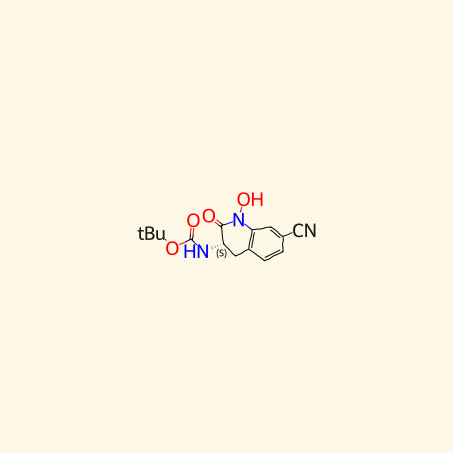 CC(C)(C)OC(=O)N[C@H]1Cc2ccc(C#N)cc2N(O)C1=O